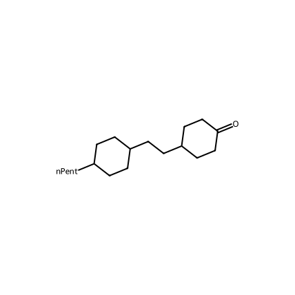 CCCCCC1CCC(CCC2CCC(=O)CC2)CC1